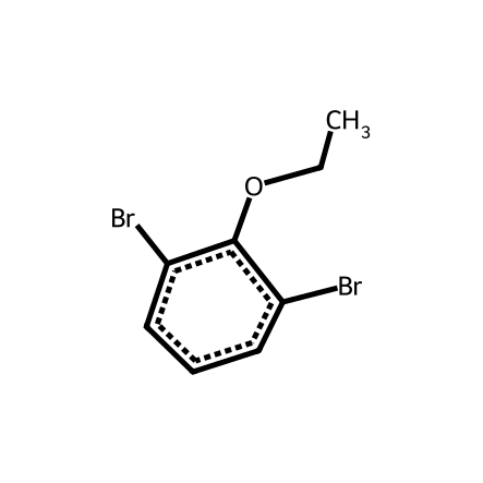 CCOc1c(Br)cccc1Br